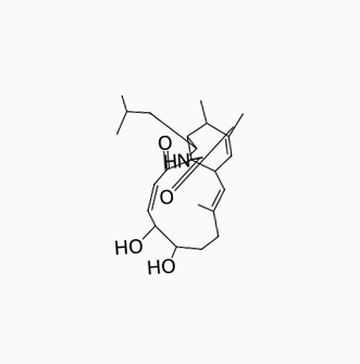 CC1=CC2/C=C(\C)CCC(O)C(O)/C=C\C(=O)C23C(=O)NC(CC(C)C)C3C1C